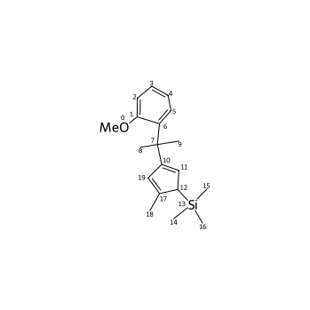 COc1ccccc1C(C)(C)C1=CC([Si](C)(C)C)C(C)=C1